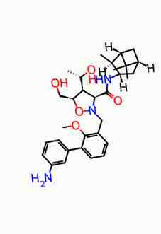 COc1c(CN2O[C@@H](CO)[C@@H]([C@H](C)O)[C@H]2C(=O)N[C@H]2C[C@H]3C[C@@H]([C@@H]2C)C3(C)C)cccc1-c1cccc(N)c1